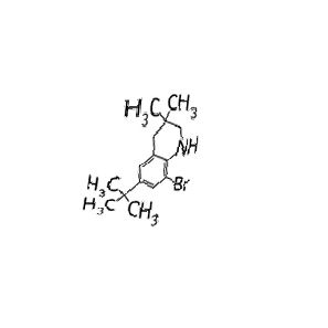 CC1(C)CNc2c(Br)cc(C(C)(C)C)cc2C1